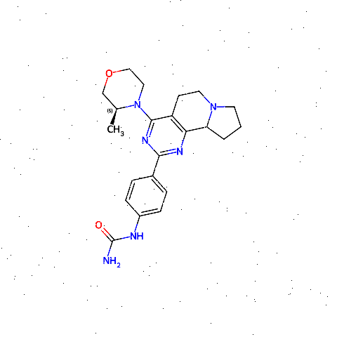 C[C@H]1COCCN1c1nc(-c2ccc(NC(N)=O)cc2)nc2c1CCN1CCCC21